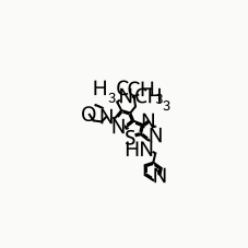 CN1Cc2c(N3CCOCC3)nc3sc4c(NCc5cccnc5)ncnc4c3c2CC1(C)C